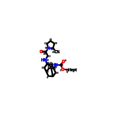 CCCCCCCOC(=O)NC12CC3CC(CC(NCC(=O)N4CCCC4C#N)(C3)C1)C2